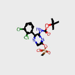 CC(C)(C)OC(=O)Nc1nc(OS(C)(=O)=O)cnc1-c1cccc(Cl)c1Cl